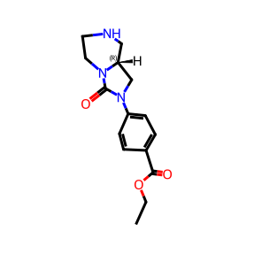 CCOC(=O)c1ccc(N2C[C@H]3CNCCN3C2=O)cc1